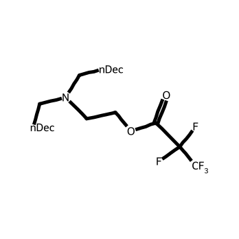 CCCCCCCCCCCN(CCCCCCCCCCC)CCOC(=O)C(F)(F)C(F)(F)F